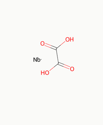 O=C(O)C(=O)O.[Nb]